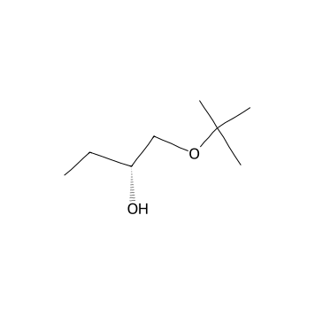 CC[C@@H](O)COC(C)(C)C